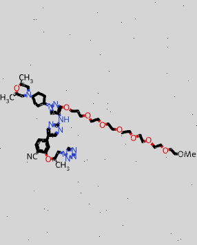 COCCOCCOCCOCCOCCOCCOCCCOc1nn(C2CCC(N3C[C@@H](C)O[C@@H](C)C3)CC2)cc1Nc1ncc(-c2ccc(C#N)c(O[C@@H](C)Cn3cnnn3)c2)cn1